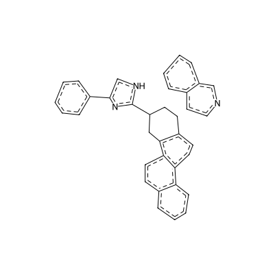 c1ccc(-c2c[nH]c(C3CCc4ccc5c(ccc6ccccc65)c4C3)n2)cc1.c1ccc2cnccc2c1